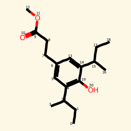 CCC(C)c1cc(CCC(=O)OC)cc(C(C)CC)c1O